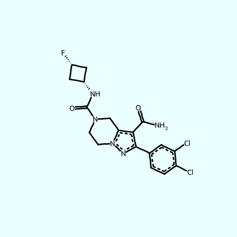 NC(=O)c1c(-c2ccc(Cl)c(Cl)c2)nn2c1CN(C(=O)N[C@H]1C[C@@H](F)C1)CC2